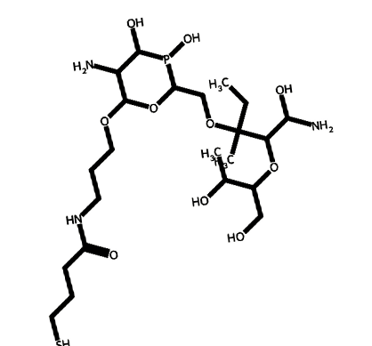 CCC(C)(OCC1OC(OCCCNC(=O)CCCS)C(N)C(O)P1O)C(OC(CO)C(C)O)C(N)O